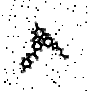 O=C1NC(=O)C(c2ccc(C(=O)Nc3ccc(Cl)cc3)cc2)(N2CCC3(CC2)CN(CCO)C3)C(=O)N1